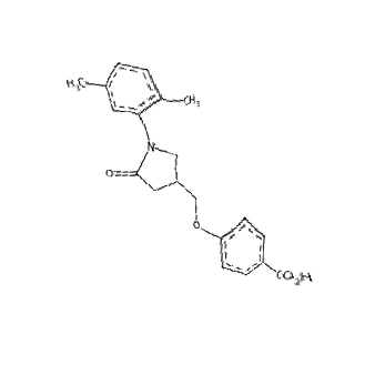 Cc1ccc(C)c(N2CC(COc3ccc(C(=O)O)cc3)CC2=O)c1